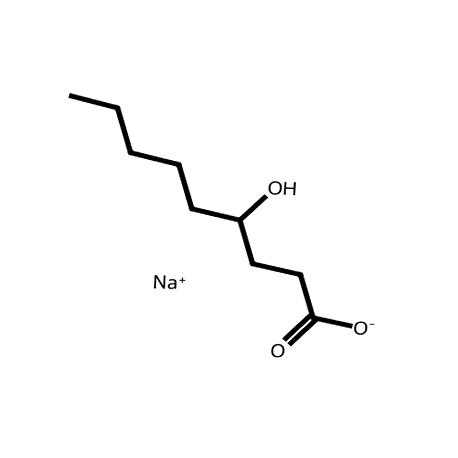 CCCCCC(O)CCC(=O)[O-].[Na+]